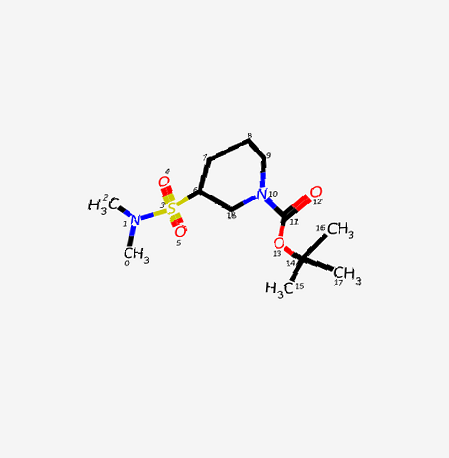 CN(C)S(=O)(=O)C1CCCN(C(=O)OC(C)(C)C)C1